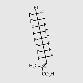 CCC(F)(F)C(F)(F)C(F)(F)C(F)(F)C(F)(F)C(F)(F)C(F)(F)C(F)(F)/C=C(\C)C(=O)O